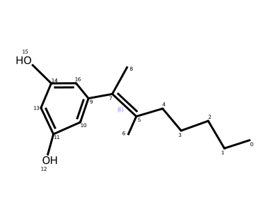 CCCCC/C(C)=C(\C)c1cc(O)cc(O)c1